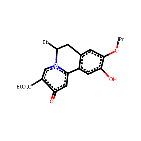 CCOC(=O)c1cn2c(cc1=O)-c1cc(O)c(OC(C)C)cc1CC2CC